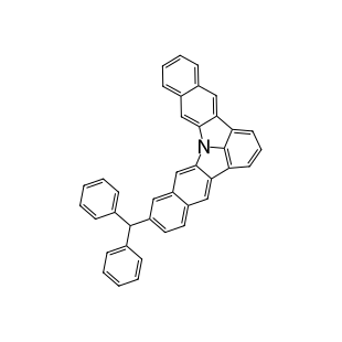 c1ccc(C(c2ccccc2)c2ccc3cc4c5cccc6c7cc8ccccc8cc7n(c4cc3c2)c65)cc1